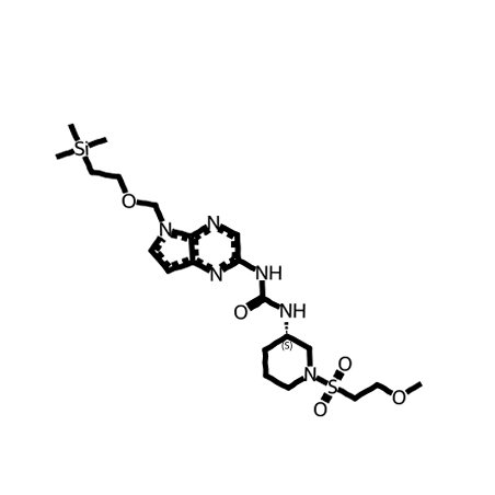 COCCS(=O)(=O)N1CCC[C@H](NC(=O)Nc2cnc3c(ccn3COCC[Si](C)(C)C)n2)C1